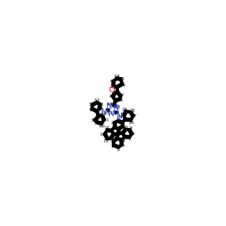 c1ccc2c(c1)-c1ccccc1C21c2ccccc2-c2cc3c(cc21)c1ccccc1n3-c1nc(-c2ccc3c(c2)oc2ccccc23)nc(-n2c3ccccc3c3ccccc32)n1